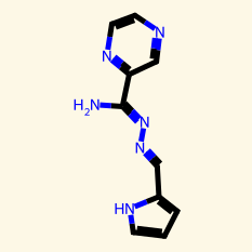 NC(=NN=Cc1ccc[nH]1)c1cnccn1